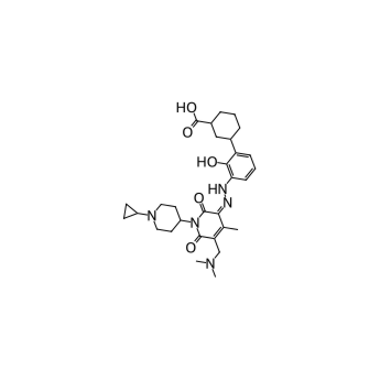 CC1=C(CN(C)C)C(=O)N(C2CCN(C3CC3)CC2)C(=O)C1=NNc1cccc(C2CCCC(C(=O)O)C2)c1O